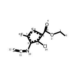 CCOC(=O)c1sc(F)c(N=C=S)c1Cl